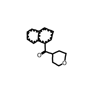 O=C(c1cccc2ccccc12)C1CCOCC1